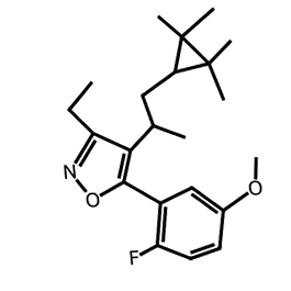 CCc1noc(-c2cc(OC)ccc2F)c1C(C)CC1C(C)(C)C1(C)C